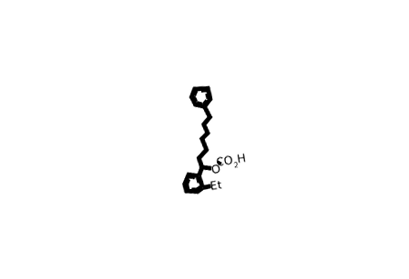 CCc1ccccc1C(CCCCCCc1ccccc1)OC(=O)O